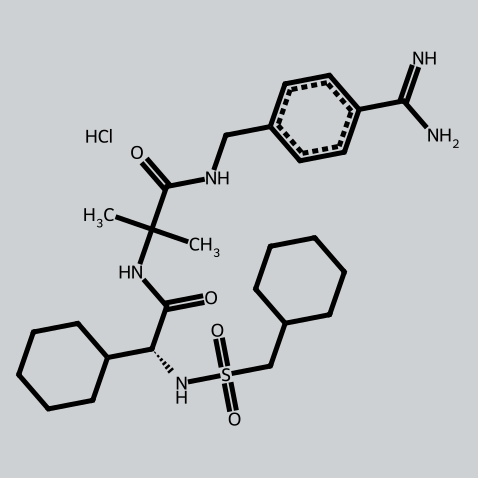 CC(C)(NC(=O)[C@H](NS(=O)(=O)CC1CCCCC1)C1CCCCC1)C(=O)NCc1ccc(C(=N)N)cc1.Cl